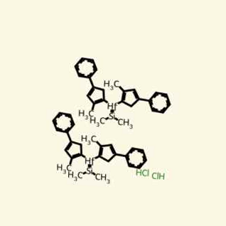 CC1=[C]([Hf]([C]2=C(C)C=C(c3ccccc3)C2)=[Si](C)C)CC(c2ccccc2)=C1.CC1=[C]([Hf]([C]2=C(C)C=C(c3ccccc3)C2)=[Si](C)C)CC(c2ccccc2)=C1.Cl.Cl